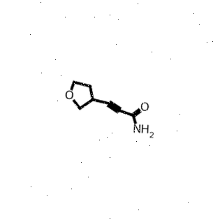 NC(=O)C#CC1CCOC1